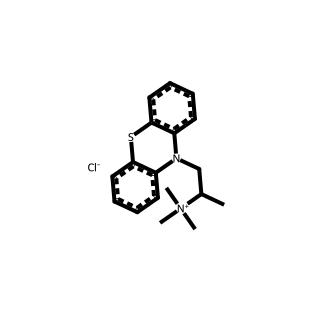 CC(CN1c2ccccc2Sc2ccccc21)[N+](C)(C)C.[Cl-]